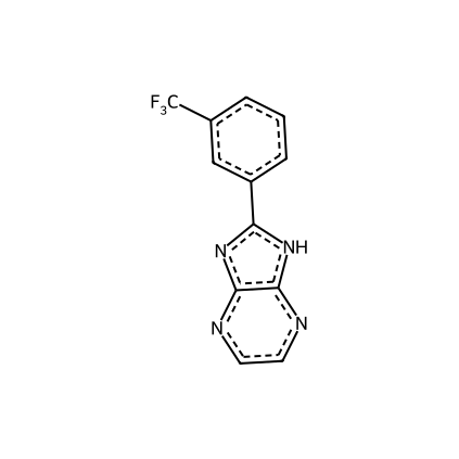 FC(F)(F)c1cccc(-c2nc3nccnc3[nH]2)c1